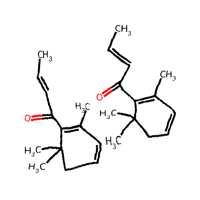 C/C=C/C(=O)C1=C(C)C=CCC1(C)C.C/C=C/C(=O)C1=C(C)C=CCC1(C)C